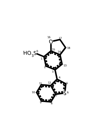 O=S(=O)(O)c1cc(-c2csc3ccccc23)cc2c1OCC2